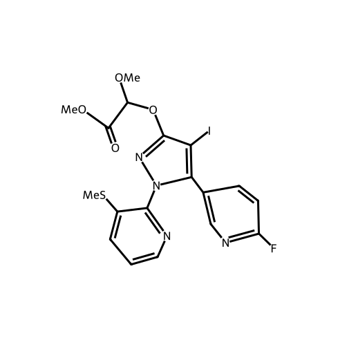 COC(=O)C(OC)Oc1nn(-c2ncccc2SC)c(-c2ccc(F)nc2)c1I